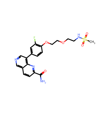 CS(=O)(=O)NCCOCCOc1ccc(-c2cncc3ccc(C(N)=O)nc23)cc1F